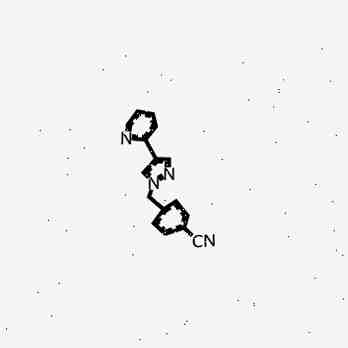 N#Cc1ccc(Cn2cc(-c3ccccn3)cn2)cc1